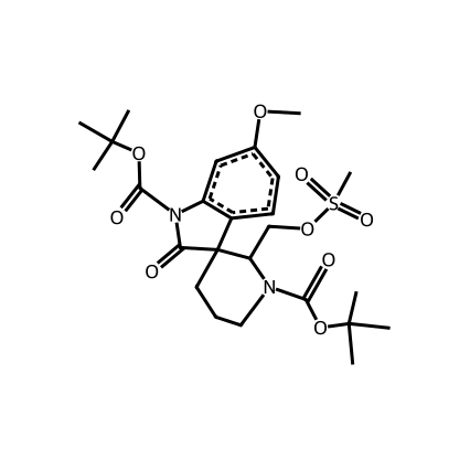 COc1ccc2c(c1)N(C(=O)OC(C)(C)C)C(=O)C21CCCN(C(=O)OC(C)(C)C)C1COS(C)(=O)=O